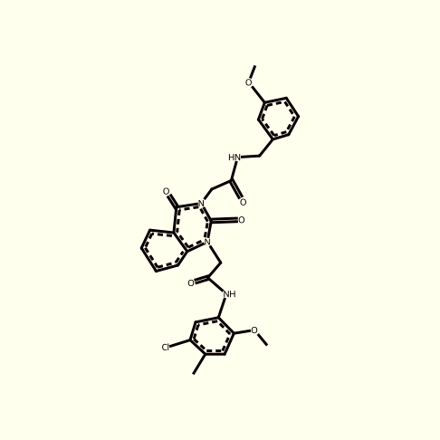 COc1cccc(CNC(=O)Cn2c(=O)c3ccccc3n(CC(=O)Nc3cc(Cl)c(C)cc3OC)c2=O)c1